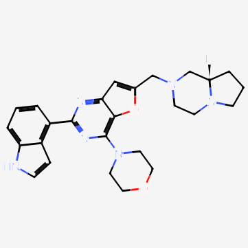 c1cc(-c2nc(N3CCOCC3)c3oc(CN4CCN5CCC[C@H]5C4)cc3n2)c2cc[nH]c2c1